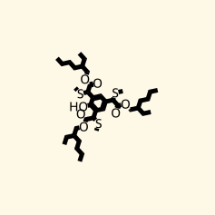 CCCCC(CC)COC(=O)C(SC)c1cc(C(SC)C(=O)OCC(CC)CCCC)c(O)c(C(SC)C(=O)OCC(CC)CCCC)c1